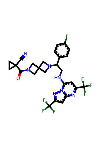 N#CC1(C(=O)N2CC3(C2)CN(C(CNc2cc(C(F)(F)F)nc4cc(C(F)(F)F)nn24)c2ccc(F)cc2)C3)CC1